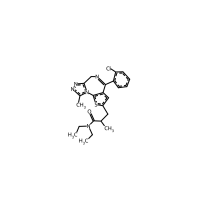 CCN(CC)C(=O)C(C)Cc1cc2c(s1)-n1c(C)nnc1CN=C2c1ccccc1Cl